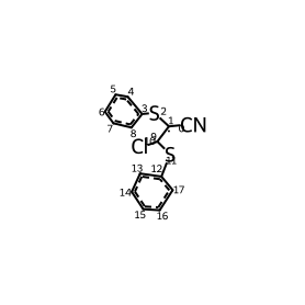 N#C[C](Sc1ccccc1)C(Cl)Sc1ccccc1